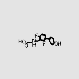 O=C(O)CCNCc1c(F)ccc(-c2ccc(O)cc2)c1F